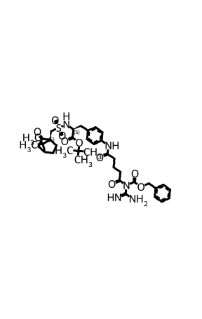 CC(C)(C)OC(=O)[C@H](Cc1ccc(NC(=O)CCCC(=O)N(C(=N)N)C(=O)OCc2ccccc2)cc1)NS(=O)(=O)C[C@]12CCC(CC1=O)C2(C)C